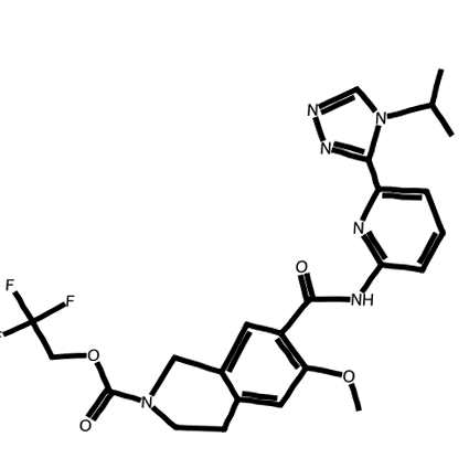 COc1cc2c(cc1C(=O)Nc1cccc(-c3nncn3C(C)C)n1)CN(C(=O)OCC(F)(F)F)CC2